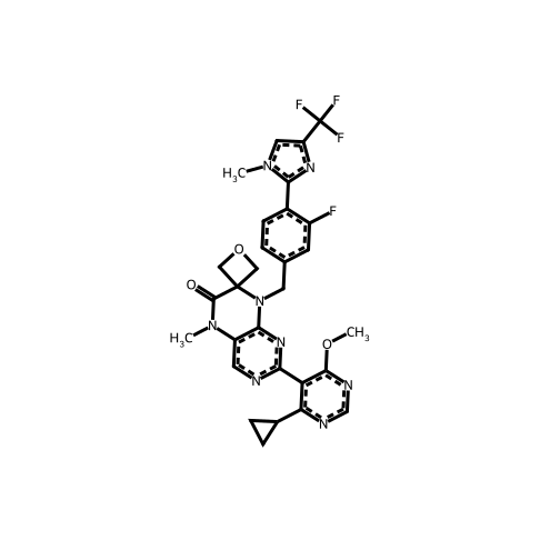 COc1ncnc(C2CC2)c1-c1ncc2c(n1)N(Cc1ccc(-c3nc(C(F)(F)F)cn3C)c(F)c1)C1(COC1)C(=O)N2C